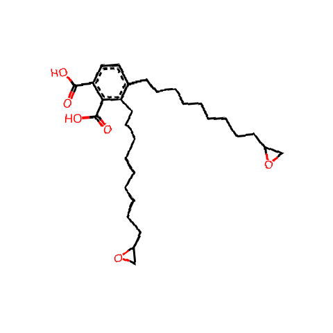 O=C(O)c1ccc(CCCCCCCCCC2CO2)c(CCCCCCCCCC2CO2)c1C(=O)O